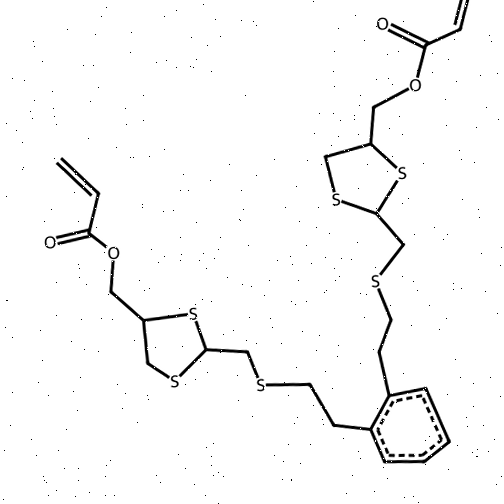 C=CC(=O)OCC1CSC(CSCCc2ccccc2CCSCC2SCC(COC(=O)C=C)S2)S1